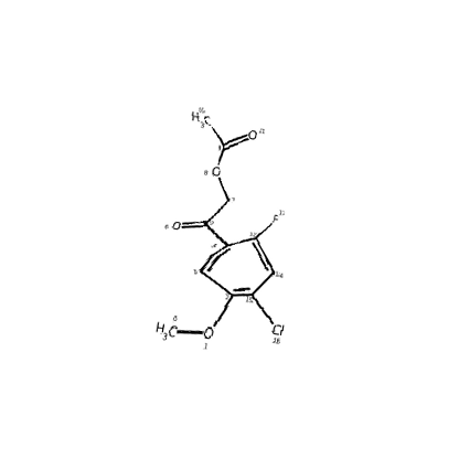 COc1cc(C(=O)COC(C)=O)c(F)cc1Cl